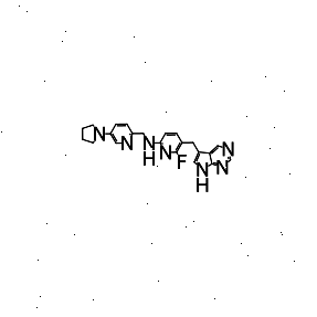 Fc1nc(NCc2ccc(N3CCCC3)cn2)ccc1Cc1c[nH]c2ncncc12